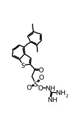 Cc1ccc(C)c(-c2cccc3sc(C(=O)CS(=O)(=O)ONC(=N)N)cc23)c1